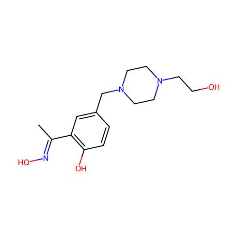 CC(=NO)c1cc(CN2CCN(CCO)CC2)ccc1O